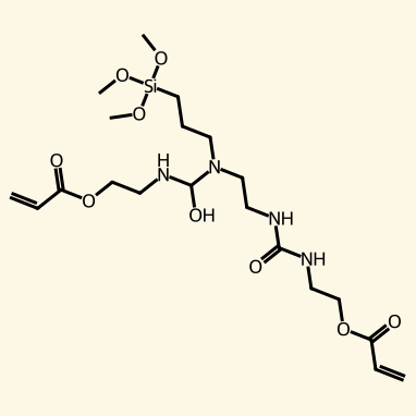 C=CC(=O)OCCNC(=O)NCCN(CCC[Si](OC)(OC)OC)C(O)NCCOC(=O)C=C